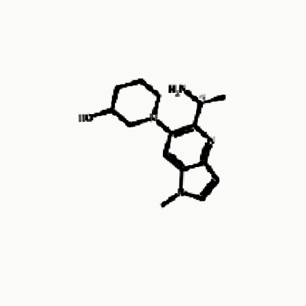 C[C@H](N)c1nc2ccn(C)c2cc1N1CCCC(O)C1